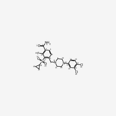 NC(=O)c1ccc(CN2CCN(c3ccc(Cl)c(Cl)c3)CC2)c(S(=O)(=O)C2CC2)c1F